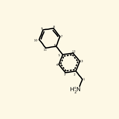 NCc1ccc(C2C=CC=CC2)cc1